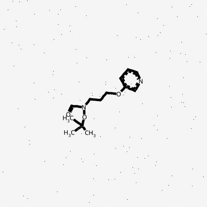 CC(C)(C)ON(C=O)CCCOc1cccnc1